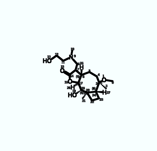 CO[C@]1(C)CC[C@H]2C(CN(C)CCO)C(=O)O[C@@H]2[C@@H](O)[C@]2(C)CC[C@H]21